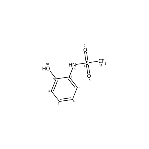 O=S(=O)(Nc1ccccc1O)C(F)(F)F